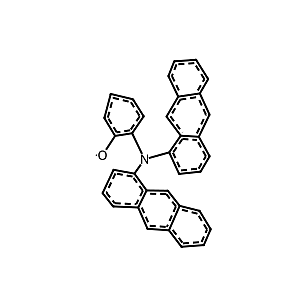 [O]c1ccccc1N(c1cccc2cc3ccccc3cc12)c1cccc2cc3ccccc3cc12